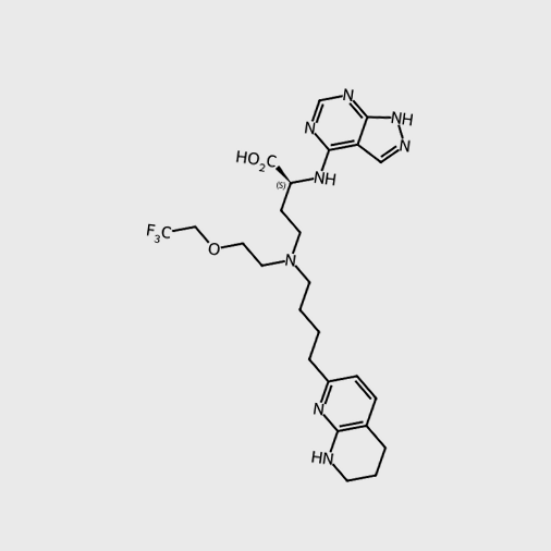 O=C(O)[C@H](CCN(CCCCc1ccc2c(n1)NCCC2)CCOCC(F)(F)F)Nc1ncnc2[nH]ncc12